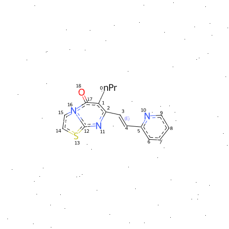 CCCc1c(/C=C/c2ccccn2)nc2sccn2c1=O